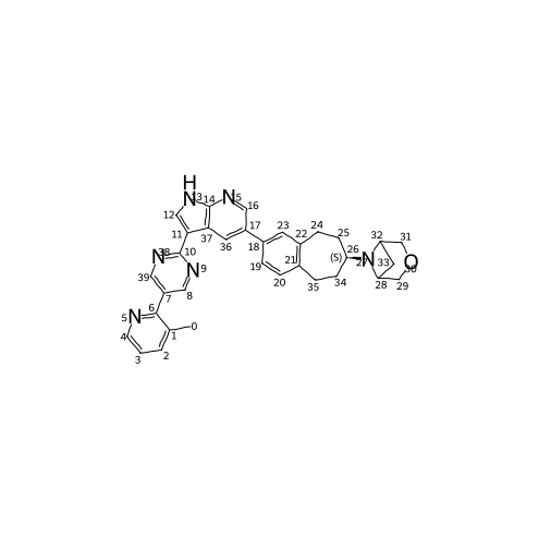 Cc1cccnc1-c1cnc(-c2c[nH]c3ncc(-c4ccc5c(c4)CC[C@@H](N4C6COCC4C6)CC5)cc23)nc1